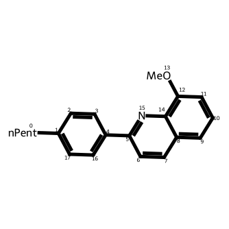 CCCCCc1ccc(-c2ccc3cccc(OC)c3n2)cc1